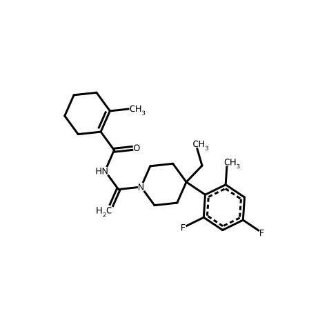 C=C(NC(=O)C1=C(C)CCCC1)N1CCC(CC)(c2c(C)cc(F)cc2F)CC1